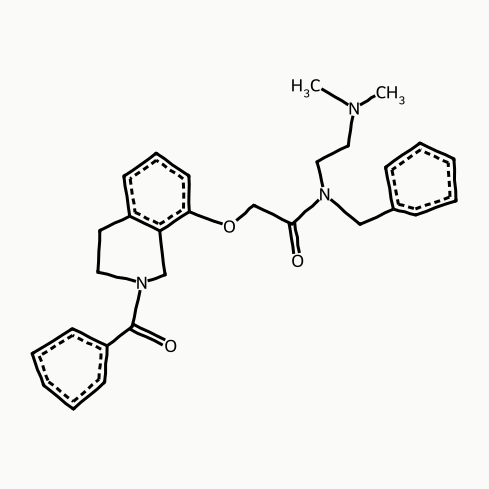 CN(C)CCN(Cc1ccccc1)C(=O)COc1cccc2c1CN(C(=O)c1ccccc1)CC2